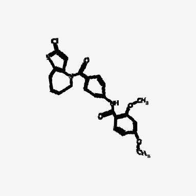 COc1ccc(C(=O)Nc2ccc(C(=O)N3CCCCc4sc(Cl)cc43)cc2)c(OC)c1